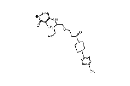 O=C(CCOCC(CCO)Nc1cn[nH]c(=O)c1C(F)(F)F)N1CCN(c2ncc(C(F)(F)F)cn2)CC1